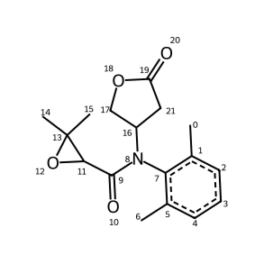 Cc1cccc(C)c1N(C(=O)C1OC1(C)C)C1COC(=O)C1